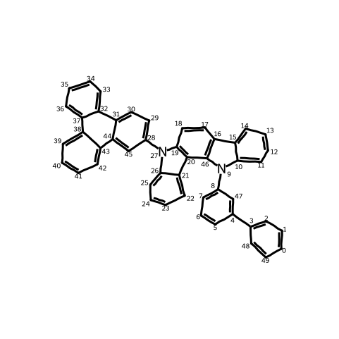 c1ccc(-c2cccc(-n3c4ccccc4c4ccc5c(c6ccccc6n5-c5ccc6c7ccccc7c7ccccc7c6c5)c43)c2)cc1